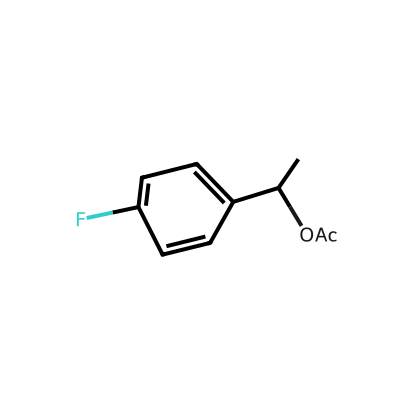 CC(=O)OC(C)c1ccc(F)cc1